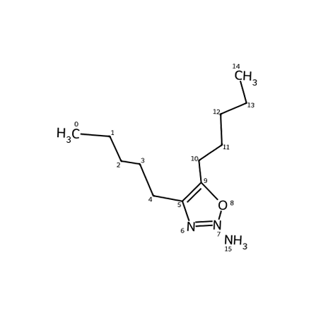 CCCCCc1nnoc1CCCCC.N